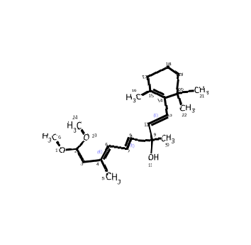 COC(C/C(C)=C/C=C/C(C)(O)/C=C/C1=C(C)CCCC1(C)C)OC